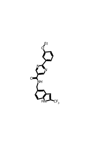 CCOc1cccc(-c2ncc(C(=O)NCc3ccc4[nH]c(C(F)(F)F)cc4c3)cn2)c1